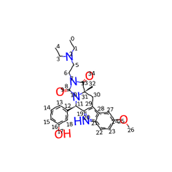 CCN(CC)CCN1C(=O)N2[C@H](c3cccc(O)c3)c3[nH]c4ccc(OC)cc4c3C[C@@]2(C)C1=O